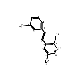 Fc1cccc(/C=C/c2cc(Br)cnc2F)c1